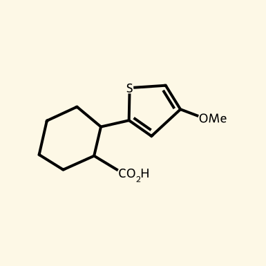 COc1csc(C2CCCCC2C(=O)O)c1